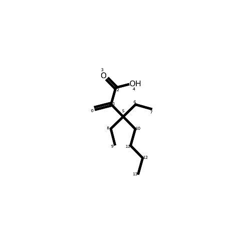 C=C(C(=O)O)C(CC)(CC)CCCC